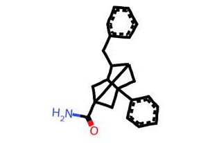 NC(=O)C12CC3C(Cc4ccccc4)C1CC3(c1ccccc1)C2